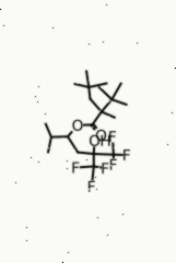 CC(C)C(CC(O)(C(F)(F)F)C(F)(F)F)OC(=O)C(C)(CC(C)(C)C)C(C)(C)C